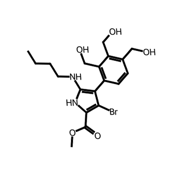 CCCCNc1[nH]c(C(=O)OC)c(Br)c1-c1ccc(CO)c(CO)c1CO